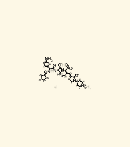 C[n+]1ccc(N2CCC(=CC3=C(C(=O)O)N4C(=O)[C@@H](NC(=O)C(=NOC5CCCC5)c5csc(N)n5)[C@H]4SC3)C2=O)cc1.[I-]